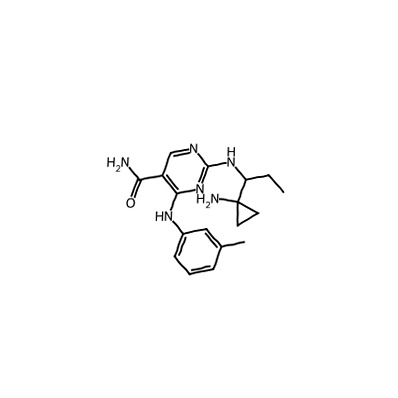 CCC(Nc1ncc(C(N)=O)c(Nc2cccc(C)c2)n1)C1(N)CC1